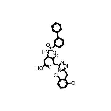 O=C(O)CC(NS(=O)(=O)c1cccc(-c2ccccc2)c1)C(=O)Cn1nnc(Cc2c(Cl)cccc2Cl)n1